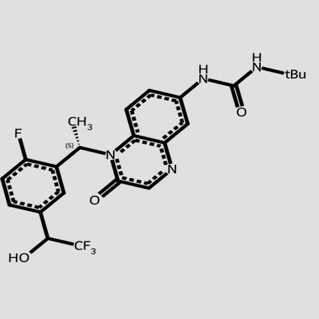 C[C@@H](c1cc(C(O)C(F)(F)F)ccc1F)n1c(=O)cnc2cc(NC(=O)NC(C)(C)C)ccc21